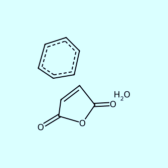 O.O=C1C=CC(=O)O1.c1ccccc1